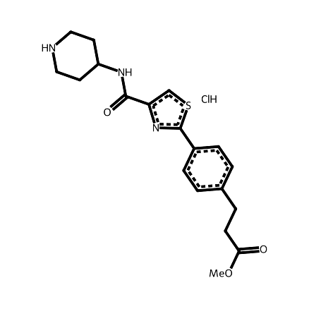 COC(=O)CCc1ccc(-c2nc(C(=O)NC3CCNCC3)cs2)cc1.Cl